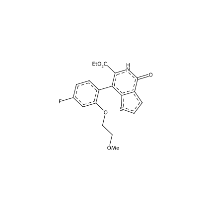 CCOC(=O)c1[nH]c(=O)c2ccsc2c1-c1ccc(F)cc1OCCOC